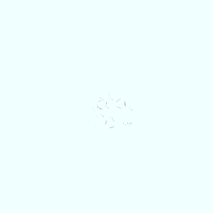 CNCc1cccc(N2c3nc(Nc4ccc(N5CCC(F)(F)CC5)cc4)ncc3[C@@]3(C)COC(C)(C)C[C@@H]23)n1